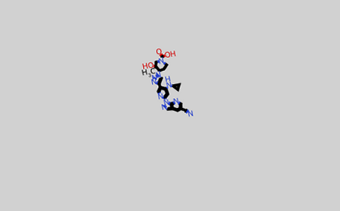 CC1(O)CN(C(=O)O)CCC1n1cc(-c2cnc(-n3ncc4cc(C#N)cnc43)cc2NC2CC2)nn1